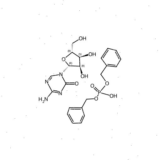 Nc1ncn([C@@H]2O[C@H](CO)[C@@H](O)[C@H]2O)c(=O)n1.O=P(O)(OCc1ccccc1)OCc1ccccc1